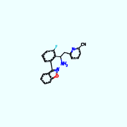 N#Cc1cccc(CC(N)c2c(F)cccc2-c2noc3ccccc23)n1